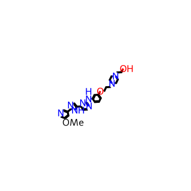 COc1cncc(-c2ncc(-c3ccnc(Nc4cccc(OCCCN5CCN(CCO)CC5)c4)n3)[nH]2)c1